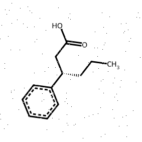 CCC[C@@H](CC(=O)O)c1ccccc1